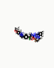 Cc1cc(C)c(N2/C(=N/C(=O)NC(C)C(F)c3ccc(-c4ccn(-c5ccc(OC(F)(F)F)cc5)n4)cc3)SCCC2C)c(C)c1